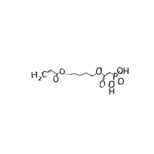 C=CC(=O)OCCCCCOC(=O)CP(=O)(O)O